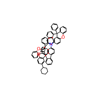 c1ccc(C2(c3ccccc3)c3ccccc3Oc3ccc(N(c4ccc5c(c4)C4(c6cc(C7CCCCC7)ccc6Oc6ccc(C7CCCCC7)cc64)c4ccccc4-5)c4ccccc4-c4cccc5c4oc4ccccc45)cc32)cc1